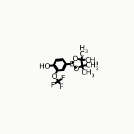 CC1(C)OB(c2ccc(O)c(OC(F)(F)F)c2)OC1(C)C